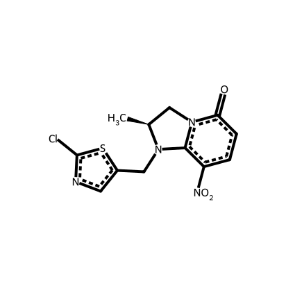 C[C@H]1Cn2c(c([N+](=O)[O-])ccc2=O)N1Cc1cnc(Cl)s1